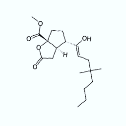 CCCCC(C)(C)CC=C(O)[C@H]1CC[C@@]2(C(=O)OC)OC(=O)C[C@H]12